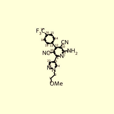 COCCn1cc(-c2nc(N)c(C#N)c(-c3ccc(C(F)(F)F)cc3)c2C#N)cn1